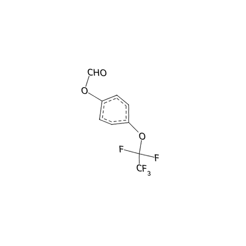 O=COc1ccc(OC(F)(F)C(F)(F)F)cc1